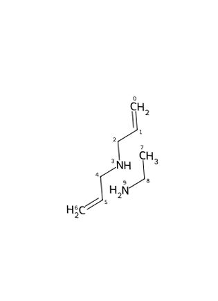 C=CCNCC=C.CCN